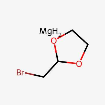 BrCC1OCCO1.[MgH2]